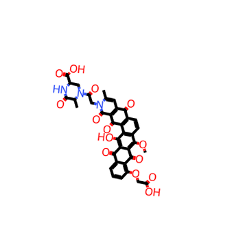 COc1c2ccc3c(=O)c4cc(C)n(CC(=O)N5CC(C(=O)O)NC(=O)C5C)c(=O)c4c(=O)c3c2c(O)c2c(=O)c3cccc(OCC(=O)O)c3c(=O)c12